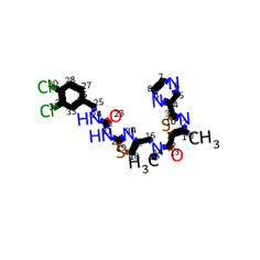 Cc1nc(-c2cnccn2)sc1C(=O)N(C)Cc1csc(NC(=O)NCc2ccc(Cl)c(Cl)c2)n1